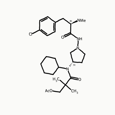 CN[C@H](Cc1ccc(Cl)cc1)C(=O)NN1CC[C@H](N(C(=O)C(C)(C)COC(C)=O)C2CCCCC2)C1